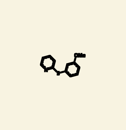 COc1cccc(Sc2ccccn2)c1